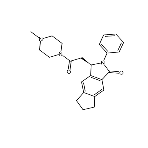 CN1CCN(C(=O)C[C@@H]2c3cc4c(cc3C(=O)N2c2ccccc2)CCC4)CC1